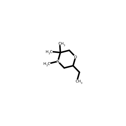 CCC1CN(C)C(C)(C)CO1